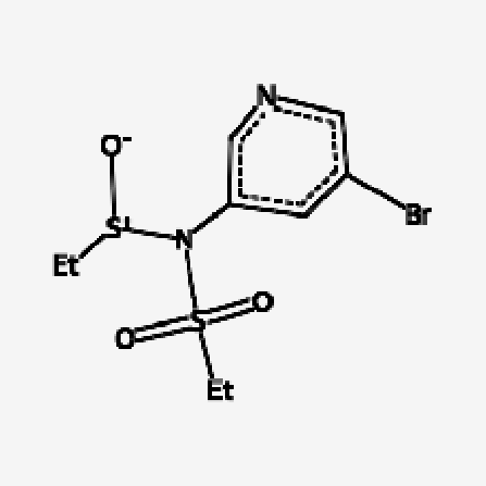 CC[S+]([O-])N(c1cncc(Br)c1)S(=O)(=O)CC